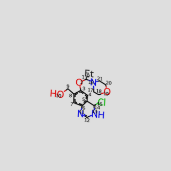 CCC(Oc1cc2c(cc1CO)N=CNC2Cl)N1CCOCC1